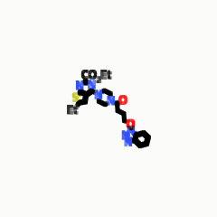 CCOC(=O)c1nc(N2CCN(C(=O)CCCOn3nnc4ccccc43)CC2)c2cc(CC)sc2n1